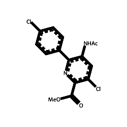 COC(=O)c1nc(-c2ccc(Cl)cc2)c(NC(C)=O)cc1Cl